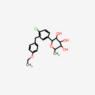 CCOc1ccc(Cc2cc(C3OC(C)C(O)C(O)C3O)ccc2Cl)cc1